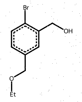 CCOCc1ccc(Br)c(CO)c1